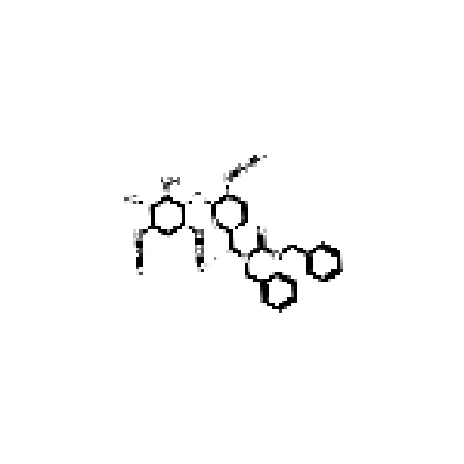 C[C@H]([C@@H]1CC[C@@H](N=[N+]=[N-])[C@@H](O[C@H]2[C@H](O)[C@@H](O)[C@H](N=[N+]=[N-])C[C@@H]2N=[N+]=[N-])O1)N(Cc1ccccc1)C(=O)OCc1ccccc1